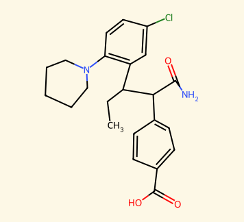 CCC(c1cc(Cl)ccc1N1CCCCC1)C(C(N)=O)c1ccc(C(=O)O)cc1